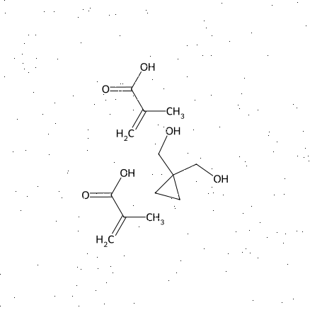 C=C(C)C(=O)O.C=C(C)C(=O)O.OCC1(CO)CC1